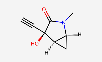 C#C[C@]1(O)C(=O)N(C)[C@H]2C[C@H]21